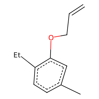 C=CCOc1cc(C)ccc1CC